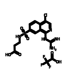 N=C(N)Nc1ncc(Cl)c2ccc(S(=O)(=O)NCCC(=O)O)cc12.O=C(O)C(F)(F)F